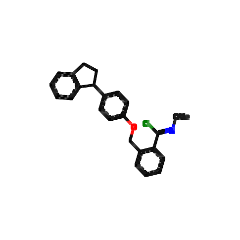 CO/N=C(\Cl)c1ccccc1COc1ccc(C2CCc3ccccc32)cc1